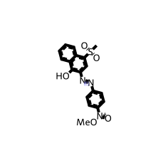 CO[N+](=O)c1ccc(/N=N/c2cc(S(C)(=O)=O)c3ccccc3c2O)cc1